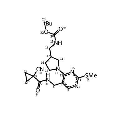 CSc1ncc(CNC(=O)C2(C#N)CC2)c(N2CCC(CNC(=O)OC(C)(C)C)C2)n1